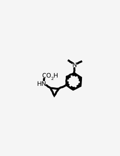 CN(C)c1cccc(C2CC2NC(=O)O)c1